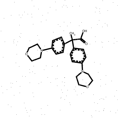 CC(C(=O)O)(c1ccc(N2CCOCC2)cc1)c1ccc(N2CCOCC2)cc1